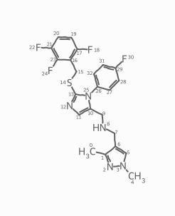 Cc1nn(C)cc1CNCc1cnc(SCc2c(F)ccc(F)c2F)n1-c1ccc(F)cc1